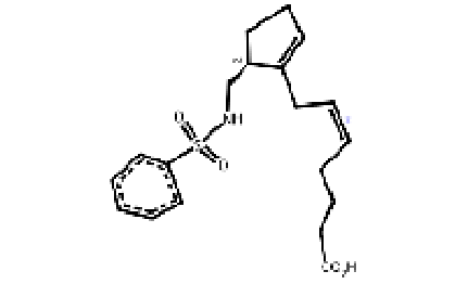 O=C(O)CCC/C=C\CC1=CCC[C@@H]1CNS(=O)(=O)c1ccccc1